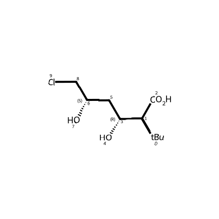 CC(C)(C)C(C(=O)O)[C@H](O)C[C@H](O)CCl